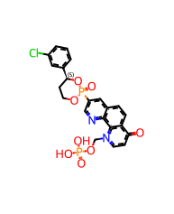 O=c1ccn(COP(=O)(O)O)c2c1ccc1cc(P3(=O)OCC[C@@H](c4cccc(Cl)c4)O3)cnc12